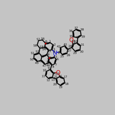 c1ccc(N(c2ccc(-c3cccc4c3oc3ccccc34)cc2)c2ccc(-c3cccc4c3oc3ccccc34)cc2)c(-c2cccc3cccc(C4CCCCC4)c23)c1